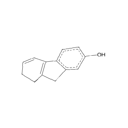 Oc1ccc2c(c1)CC1=C2C=CCC1